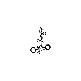 CC(C)OC(=O)/C=C/C(=O)OCC(NS(=O)(=O)C1CCCCC1)c1ccccc1